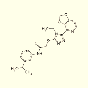 CCn1c(SCC(=O)Nc2cccc(C(C)C)c2)nnc1-c1nccc2c1OCO2